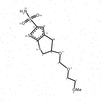 COCCOCOC1CSc2sc(S(N)(=O)=O)cc2C1